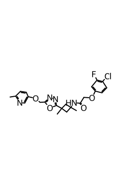 Cc1ccc(OCc2nnc(C3(C)CC(C)(NC(=O)COc4ccc(Cl)c(F)c4)C3)o2)cn1